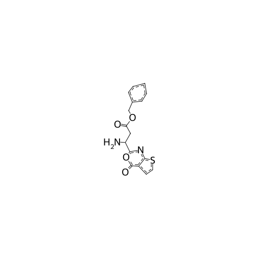 NC(CC(=O)OCc1ccccc1)c1nc2sccc2c(=O)o1